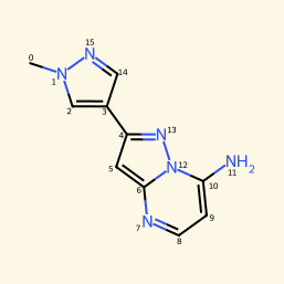 Cn1cc(-c2cc3nccc(N)n3n2)cn1